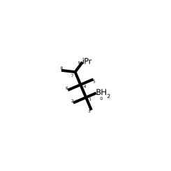 BC(C)(C)C(C)(C)C(C)C(C)C